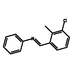 Cc1c(Cl)cccc1C=Nc1ccccc1